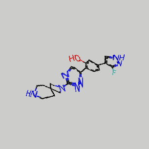 Oc1cc(-c2c[nH]nc2F)ccc1-c1cnc(N2CC3(CCNCC3)C2)nn1